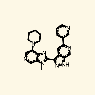 c1cncc(-c2cc3c(-c4nc5c(N6CCCCC6)cncc5[nH]4)n[nH]c3cn2)c1